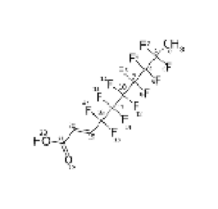 CC(F)(F)C(F)(F)C(F)(F)C(F)(F)C(F)(F)C(F)(F)C=CC(=O)O